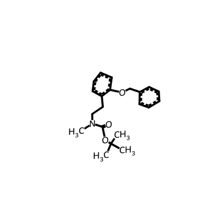 CN(CCc1ccccc1OCc1ccccc1)C(=O)OC(C)(C)C